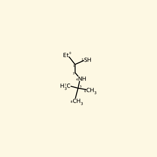 CCC(S)CNC(C)(C)C